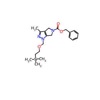 Cc1nn(COCC[Si](C)(C)C)c2c1CN(C(=O)OCc1ccccc1)C2